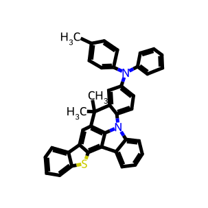 Cc1ccc(N(c2ccccc2)c2ccc3c(c2)C(C)(C)c2cc4c5ccccc5sc4c4c5ccccc5n-3c24)cc1